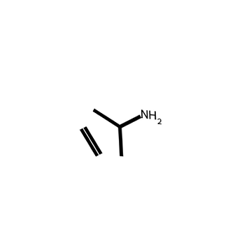 C=C.CC(C)N